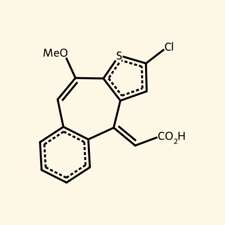 COC1=Cc2ccccc2/C(=C/C(=O)O)c2cc(Cl)sc21